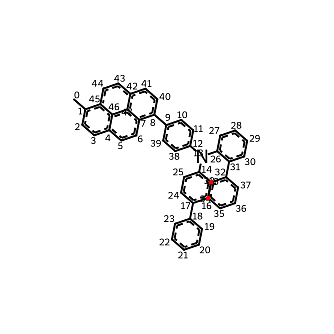 Cc1ccc2ccc3c(-c4ccc(N(c5ccc(-c6ccccc6)cc5)c5ccccc5-c5ccccc5)cc4)ccc4ccc1c2c43